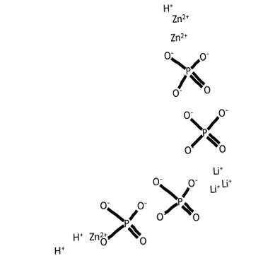 O=P([O-])([O-])[O-].O=P([O-])([O-])[O-].O=P([O-])([O-])[O-].O=P([O-])([O-])[O-].[H+].[H+].[H+].[Li+].[Li+].[Li+].[Zn+2].[Zn+2].[Zn+2]